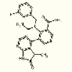 CC1C(=O)Nc2ncnc(-c3cccc(C(N)=O)c3[C@@H](CN)Cc3cccc(F)c3)c21